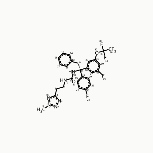 Cn1nnc(CCNC(=O)N[C@](Cc2ccccc2)(c2ccc(F)cc2)c2cc(F)cc(OC(F)(F)C(F)(F)F)c2)n1